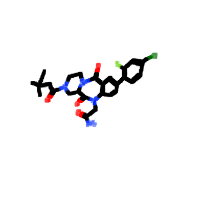 CC(C)(C)CC(=O)N1CCN2C(=O)c3cc(-c4ccc(Cl)cc4F)ccc3N(CC(N)=O)C(=O)C2C1